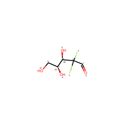 O=CC(F)(F)[C@H](O)[C@@H](O)CO